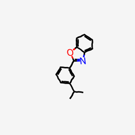 CC(C)c1cccc(-c2nc3ccccc3o2)c1